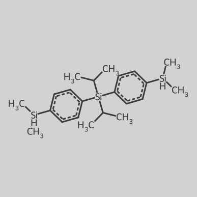 CC(C)[Si](c1ccc([SiH](C)C)cc1)(c1ccc([SiH](C)C)cc1)C(C)C